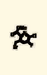 COC(=O)c1nc(Cl)c(F)cc1CBr